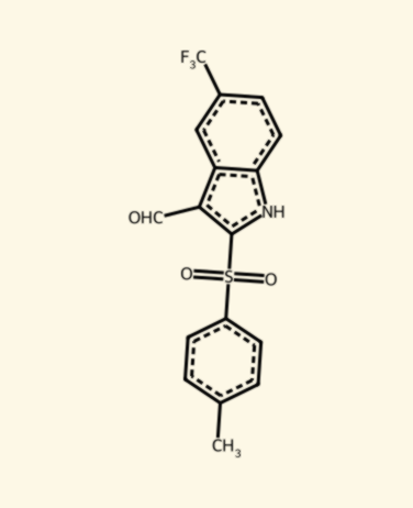 Cc1ccc(S(=O)(=O)c2[nH]c3ccc(C(F)(F)F)cc3c2C=O)cc1